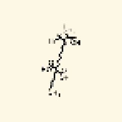 [CH2]C(C(=O)O)C(CCCCCCCC(C(=O)O)C(CCCCCC)C(=O)O)C(=O)O